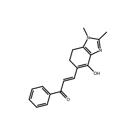 Cc1nc2c(n1C)CCC(C=CC(=O)c1ccccc1)=C2O